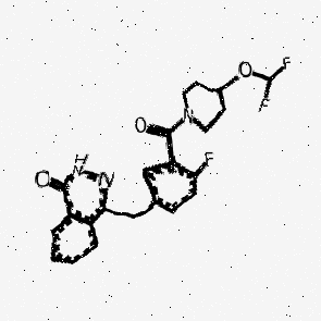 O=C(c1cc(Cc2n[nH]c(=O)c3ccccc23)ccc1F)N1CCC(OC(F)F)CC1